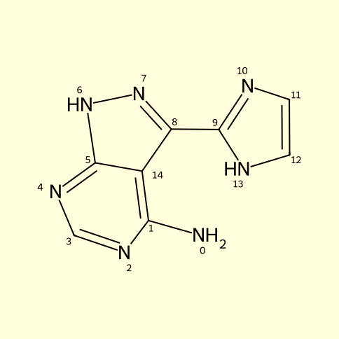 Nc1ncnc2[nH]nc(-c3ncc[nH]3)c12